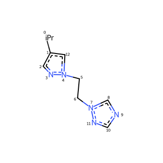 CC(C)c1cnn(CCn2cncn2)c1